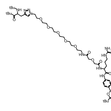 CC(C)(C)NC(Cc1cn(CCOCCOCCOCCOCCOCCNC(=O)COCC(=O)NC(CCCNC(N)=O)C(=O)Nc2ccc(COC(=O)C(C)(C)C)cc2)nn1)C(=O)C(C)(C)C